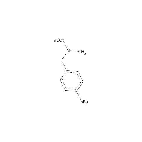 CCCCCCCCN(C)Cc1ccc(CCCC)cc1